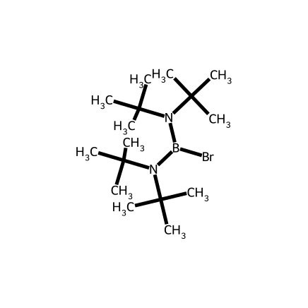 CC(C)(C)N(B(Br)N(C(C)(C)C)C(C)(C)C)C(C)(C)C